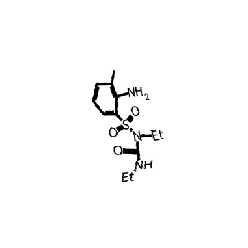 CCNC(=O)N(CC)S(=O)(=O)c1cccc(C)c1N